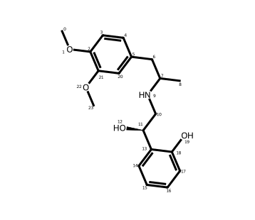 COc1ccc(CC(C)NC[C@H](O)c2ccccc2O)cc1OC